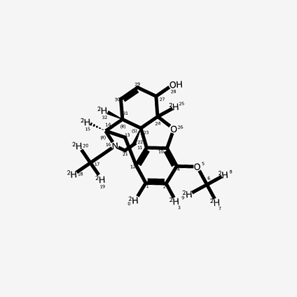 [2H]c1c([2H])c(OC([2H])([2H])[2H])c2c3c1C[C@@]1([2H])N(C([2H])([2H])[2H])CC[C@@]34C([2H])(O2)C(O)C=C[C@@]14[2H]